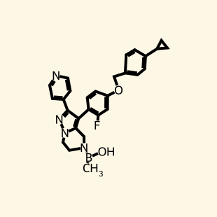 CB(O)N1CCn2nc(-c3ccncc3)c(-c3ccc(OCc4ccc(C5CC5)cc4)cc3F)c2C1